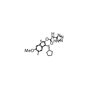 COc1cc2sc(OC(=O)Nc3nnn[nH]3)c(SC3CCCC3)c2cc1C